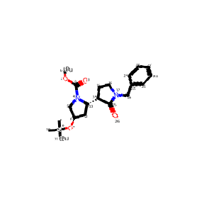 CC(C)(C)OC(=O)N1C[C@H](O[Si](C)(C)C(C)(C)C)C[C@H]1C1CCN(Cc2ccccc2)C1=O